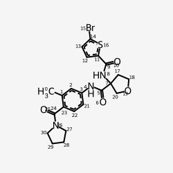 Cc1cc(NC(=O)C2(NC(=O)c3ccc(Br)s3)CCOC2)ccc1C(=O)N1CCCC1